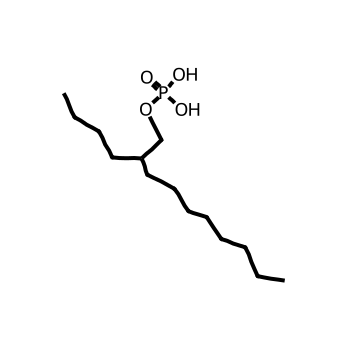 CCCCCCCCC(CCCC)COP(=O)(O)O